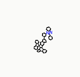 c1ccc(-c2nc3ccccc3n2-c2cccc(-c3ccc4cc5c(cc4c3)C3(c4ccccc4-c4ccccc43)c3c-5c4ccccc4c4ccccc34)c2)cc1